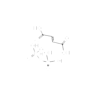 O=C(O)/C=C/C(=O)O.O=P(O)(O)OP(=O)(O)O